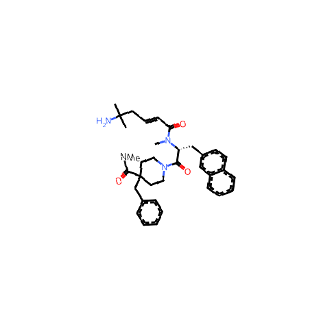 CNC(=O)C1(Cc2ccccc2)CCN(C(=O)[C@@H](Cc2ccc3ccccc3c2)N(C)C(=O)/C=C/CC(C)(C)N)CC1